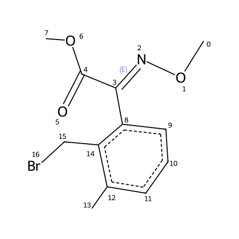 CO/N=C(/C(=O)OC)c1cccc(C)c1CBr